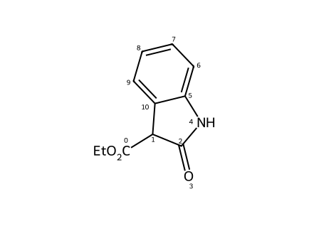 CCOC(=O)C1C(=O)Nc2ccccc21